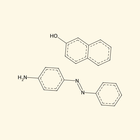 Nc1ccc(N=Nc2ccccc2)cc1.Oc1ccc2ccccc2c1